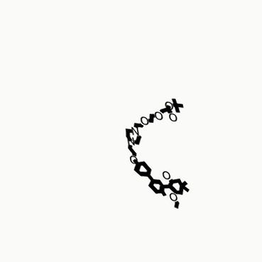 CCOC1=C(c2cc(-c3ccc(OCCN4CCN(CCOCCOCC(=O)OC(C)(C)C)CC4)cc3)ccc2C)C(=O)CC(C)(C)C1